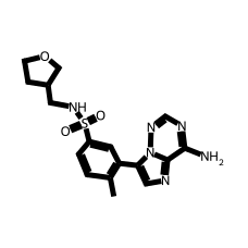 Cc1ccc(S(=O)(=O)NCC2CCOC2)cc1-c1cnc2c(N)ncnn12